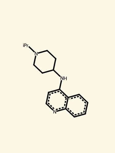 CC(C)N1CCC(Nc2ccnc3ccccc23)CC1